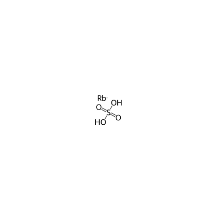 O=S(=O)(O)O.[Rb]